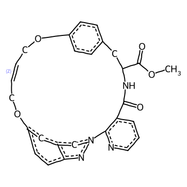 COC(=O)C1Cc2ccc(cc2)OC/C=C\COc2ccc3nn(cc3c2)-c2ncccc2C(=O)N1